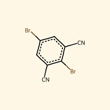 N#Cc1cc(Br)cc(C#N)c1Br